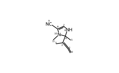 C=C=C(C)C1(C)NC=C(C#N)N1C